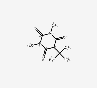 CN1C(=O)C(C(C)(C)C)C(=O)N(C)C1=O